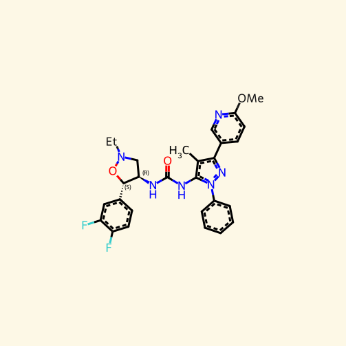 CCN1C[C@@H](NC(=O)Nc2c(C)c(-c3ccc(OC)nc3)nn2-c2ccccc2)[C@H](c2ccc(F)c(F)c2)O1